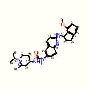 COc1cccc2c1C(Nc1ccc3cc(NC(=O)NC4CCN(C(C)C)C(I)C4)ccc3n1)CC2